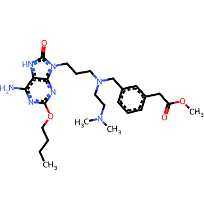 CCCCOc1nc(N)c2[nH]c(=O)n(CCCN(CCN(C)C)Cc3cccc(CC(=O)OC)c3)c2n1